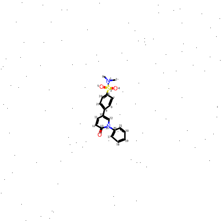 CN(C)S(=O)(=O)c1ccc(-c2ccc(=O)n(-c3ccccc3)c2)cc1